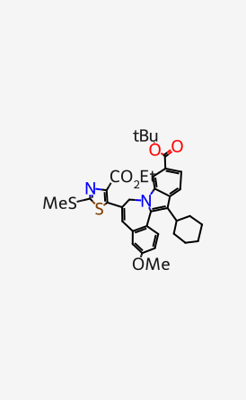 CCOC(=O)c1nc(SC)sc1C1=Cc2cc(OC)ccc2-c2c(C3CCCCC3)c3ccc(C(=O)OC(C)(C)C)cc3n2C1